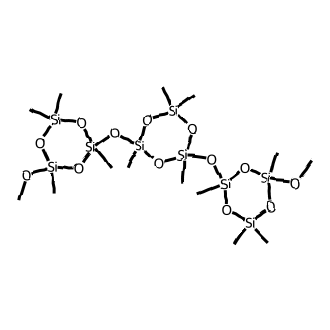 CO[Si]1(C)O[Si](C)(C)O[Si](C)(O[Si]2(C)O[Si](C)(C)O[Si](C)(O[Si]3(C)O[Si](C)(C)O[Si](C)(OC)O3)O2)O1